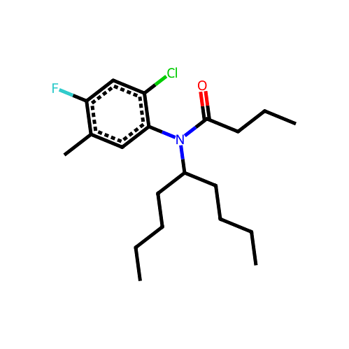 CCCCC(CCCC)N(C(=O)CCC)c1cc(C)c(F)cc1Cl